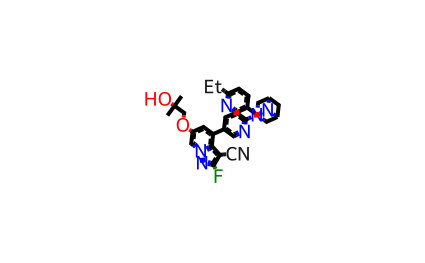 CCc1ccc(CN2C3CC2CN(c2ccc(-c4cc(OCC(C)(C)O)cn5nc(F)c(C#N)c45)cn2)C3)cn1